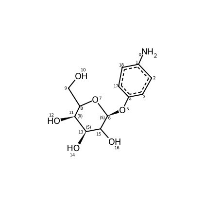 Nc1ccc(O[C@@H]2OC(CO)[C@H](O)[C@H](O)C2O)cc1